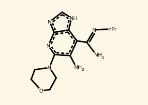 CCCN=C(N)c1c(N)c(N2CCOCC2)nc2nc[nH]c12